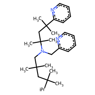 CC(C)C(C)(C)CC(C)(C)CN(Cc1ccccn1)C(C)(C)CC(C)(C)c1ccccn1